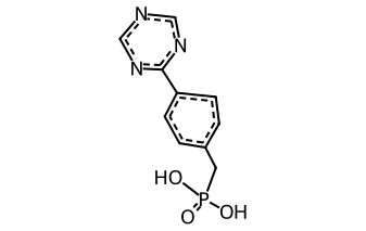 O=P(O)(O)Cc1ccc(-c2ncncn2)cc1